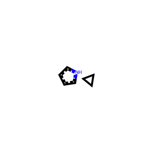 C1CC1.c1cc[nH]c1